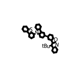 CC(C)(C)c1c2ccccc2nc2oc3ccc(-c4ccc5c(c4)c4ccccc4n5-c4cccc5c4sc4ccccc45)cc3c12